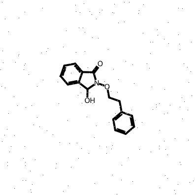 O=C1c2ccccc2C(O)N1OCCc1ccccc1